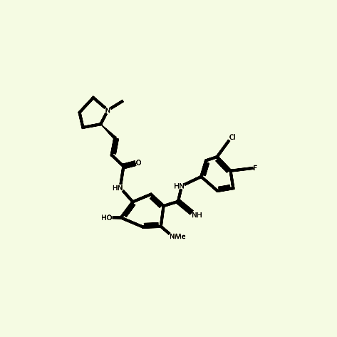 CNc1cc(O)c(NC(=O)/C=C/[C@H]2CCCN2C)cc1C(=N)Nc1ccc(F)c(Cl)c1